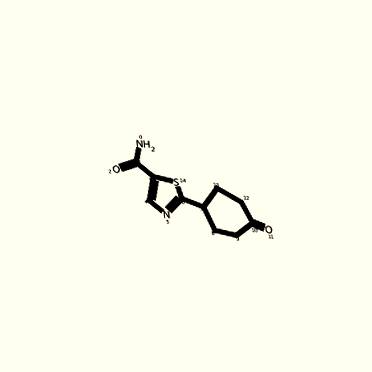 NC(=O)c1cnc(C2CCC(=O)CC2)s1